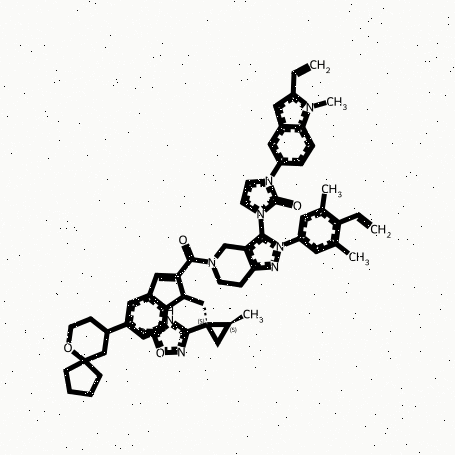 C=Cc1c(C)cc(-n2nc3c(c2-n2ccn(-c4ccc5c(c4)cc(C=C)n5C)c2=O)CN(C(=O)C2=Cc4cc(C5CCOC6(CCCC6)C5)ccc4C2C[C@@]2(c4noc(=O)[nH]4)C[C@@H]2C)CC3)cc1C